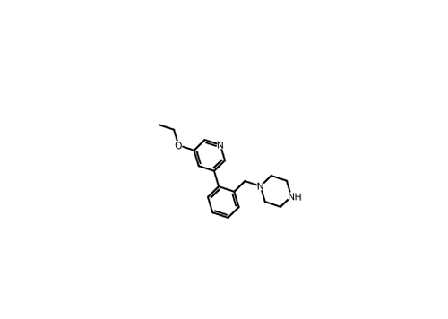 CCOc1cncc(-c2ccccc2CN2CCNCC2)c1